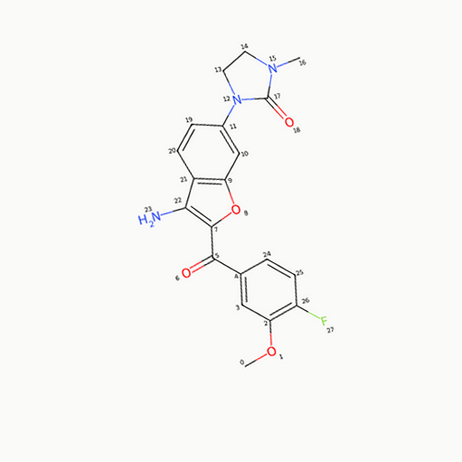 COc1cc(C(=O)c2oc3cc(N4CCN(C)C4=O)ccc3c2N)ccc1F